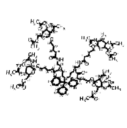 CC(=O)NC1[C@H](OCCCCC(=O)NCCN(CCN(CCN(CCNC(=O)CCCCO[C@@H]2OC(COC(C)=O)[C@H](OC(C)=O)[C@H](C)C2NC(C)=O)C(=O)CCCCO[C@@H]2OC(COC(C)=O)[C@H](OC(C)=O)[C@H](C)C2NC(C)=O)C(c2ccccc2)(c2ccccc2)c2ccccc2)C(=O)CCCCO[C@@H]2OC(COC(C)=O)[C@H](OC(C)=O)[C@H](C)C2NC(C)=O)OC(COC(C)=O)[C@H](OC(C)=O)[C@@H]1C